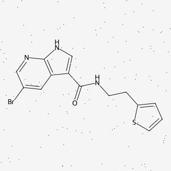 O=C(NCCc1cccs1)c1c[nH]c2ncc(Br)cc12